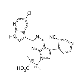 C[C@H]([C@@H](C)C(=O)O)n1cc(-c2ccncc2C#N)c2cnc(-c3c[nH]c4ncc(Cl)cc34)nc21